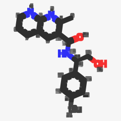 Cc1nc2ncccc2cc1C(=O)N[C@@H](CO)c1ccc(C(C)(C)C)cc1